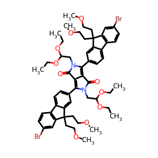 CCOC(CN1C(=O)C2=C(c3ccc4c(c3)C(CCOC)(CCOC)c3cc(Br)ccc3-4)N(CC(OCC)OCC)C(=O)C2=C1c1ccc2c(c1)C(CCOC)(CCOC)c1cc(Br)ccc1-2)OCC